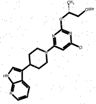 COC[C@@H](C)Oc1nc(Cl)cc(N2CCC(c3c[nH]c4ncccc34)CC2)n1